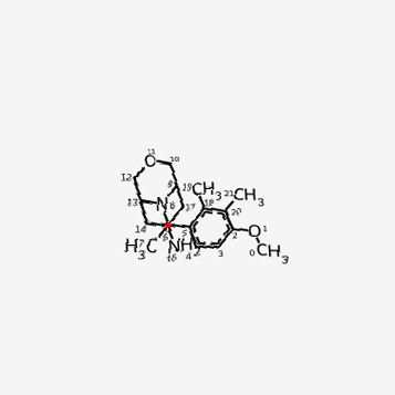 COc1ccc(C(C)N2C3COCC2CC(N)C3)c(C)c1C